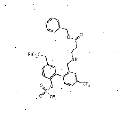 CCOC(=O)Cc1ccc(OS(=O)(=O)C(F)(F)F)c(-c2ccc(C(F)(F)F)cc2CNCCC(=O)OCc2ccccc2)c1